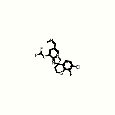 C/N=C\C1=CN2C[C@@]3(CCSc4c3ccc(Cl)c4F)N=C2C(OC(F)F)=C1